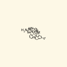 CCn1ccc(Nc2nc(N)nc(-c3cccc(N4CCc5cc(C6CC6)cc(F)c5C4=O)c3CO)n2)c1